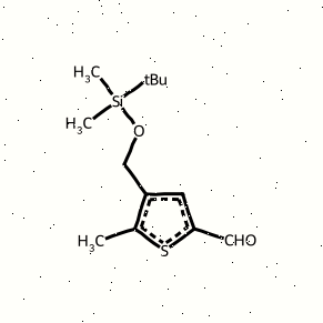 Cc1sc(C=O)cc1CO[Si](C)(C)C(C)(C)C